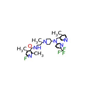 Cc1ccncc1CN(c1ccc(C(F)(F)F)nc1)C1CCN([C@H](C)CCNC(=O)c2c(C)cc(F)nc2C)CC1